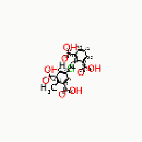 Cc1c(C(=O)O)cc(Cl)cc1C(=O)O.Cc1c(C(=O)O)cccc1C(=O)O